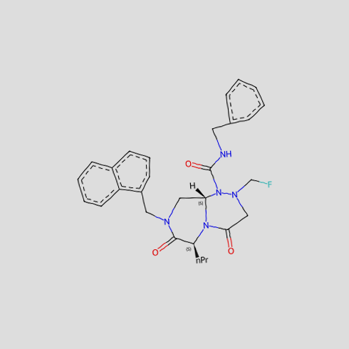 CCC[C@H]1C(=O)N(Cc2cccc3ccccc23)C[C@H]2N1C(=O)CN(CF)N2C(=O)NCc1ccccc1